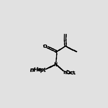 C=C(C)C(=O)N(CCCCCCC)CCCCCCCC